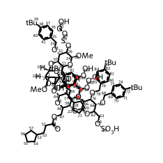 COC1[C@H]2OCC(C(=O)O)(O[C@H]2O[C@@H]2C(COC(=O)CCC3CCCC3)O[C@H](OC)C(OSOOO)[C@H]2OCc2ccc(C(C)(C)C)cc2)[C@H]1O[C@@H]1OC(COC(=O)CCC2CCCC2)[C@@H](O[C@@H]2OC(COS(=O)(=O)O)[C@@H](OCc3ccc(C(C)(C)C)cc3)[C@H](OCc3ccc(C(C)(C)C)cc3)C2OCc2ccc(C(C)(C)C)cc2)[C@H](OSOOO)C1OSOOO